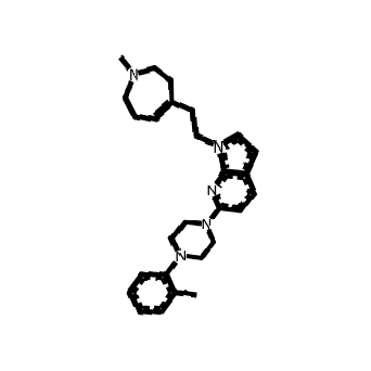 Cc1ccccc1N1CCN(c2ccc3ccn(CCC4=CCCN(C)CC4)c3n2)CC1